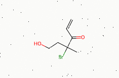 [CH2]C(Br)(CCO)C(=O)C=C